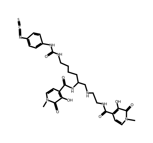 Cn1ccc(C(=O)NCCNCC(CCCCNC(=O)Nc2ccc(N=C=S)cc2)NC(=O)c2ccn(C)c(=O)c2O)c(O)c1=O